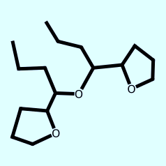 CCCC(OC(CCC)C1CCCO1)C1CCCO1